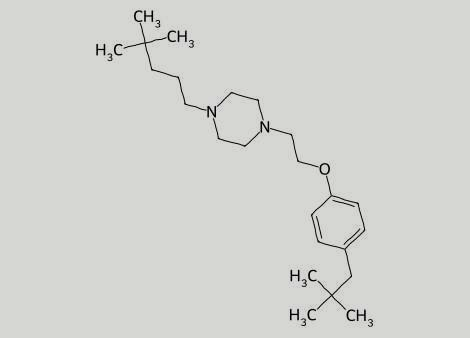 CC(C)(C)CCCN1CCN(CCOc2ccc(CC(C)(C)C)cc2)CC1